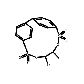 CCC1OS(=O)(=O)c2ccc(cc2)-c2ccc(cc2)S(=O)(=O)OC1C